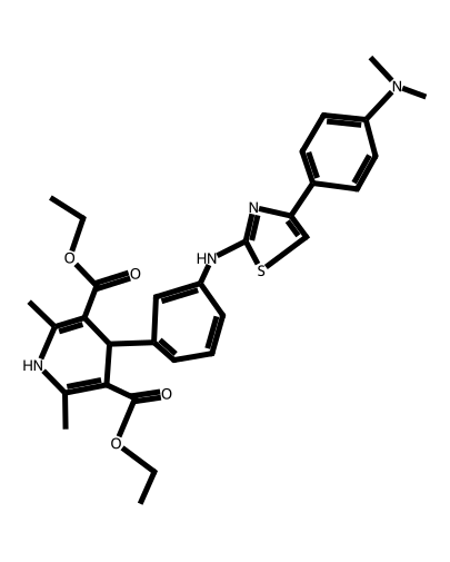 CCOC(=O)C1=C(C)NC(C)=C(C(=O)OCC)C1c1cccc(Nc2nc(-c3ccc(N(C)C)cc3)cs2)c1